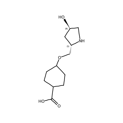 O=C(O)C1CCC(OC[C@@H]2C[C@@H](O)CN2)CC1